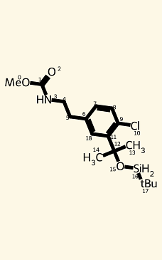 COC(=O)NCCc1ccc(Cl)c(C(C)(C)O[SiH2]C(C)(C)C)c1